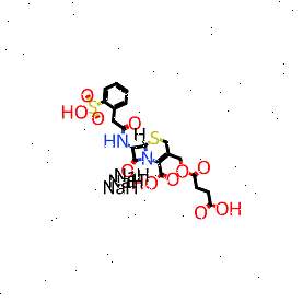 O=C(O)CCC(=O)OCC1=C(C(=O)O)N2C(=O)[C@@H](NC(=O)Cc3ccccc3S(=O)(=O)O)[C@H]2SC1.[NaH].[NaH].[NaH]